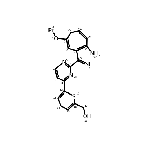 CC(C)OC1=CC(C(=N)c2nccc(C3=CCC=C(CO)S3)n2)=C(N)C=CC1